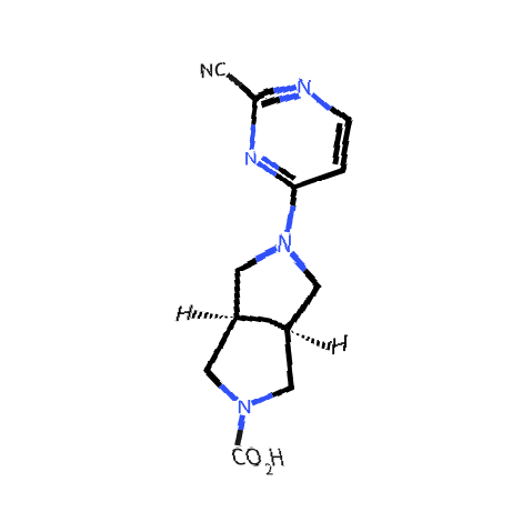 N#Cc1nccc(N2C[C@H]3CN(C(=O)O)C[C@H]3C2)n1